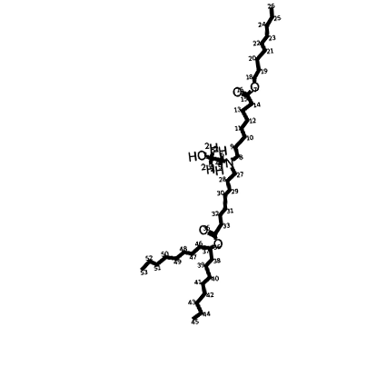 [2H]C([2H])(O)C([2H])([2H])N(CCCCCCCC(=O)OCCCCCCCCC)CCCCCCCC(=O)OC(CCCCCCCC)CCCCCCCC